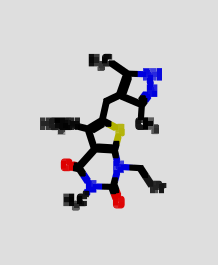 Cc1n[nH]c(C)c1Cc1sc2c(c1C(=O)O)c(=O)n(C)c(=O)n2CC(C)C.[NaH]